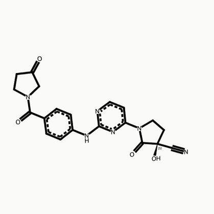 N#C[C@@]1(O)CCN(c2ccnc(Nc3ccc(C(=O)N4CCC(=O)C4)cc3)n2)C1=O